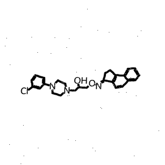 OC(CON=C1CCc2c1ccc1ccccc21)CN1CCN(c2cccc(Cl)c2)CC1